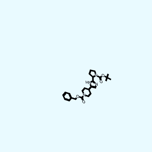 CC(C)(C)OC(=O)N1CCCC1c1ncc(C2CCN(C(=O)OCc3ccccc3)CC2)[nH]1